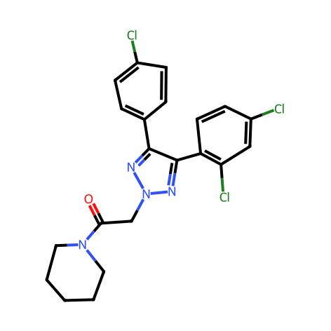 O=C(Cn1nc(-c2ccc(Cl)cc2)c(-c2ccc(Cl)cc2Cl)n1)N1CCCCC1